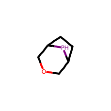 C1CC2COCC1P2